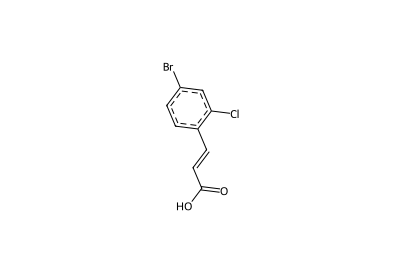 O=C(O)/C=C/c1ccc(Br)cc1Cl